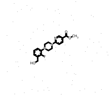 COC(=O)c1ccc(N2CCN(c3cccc(CO)c3F)CC2)nc1